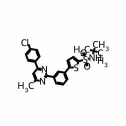 Cc1cc(-c2ccc(Cl)cc2)nc(-c2cccc(-c3ccc(S(=O)(=O)NC(C)(C)C)s3)c2)n1